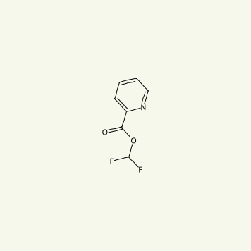 O=C(OC(F)F)c1ccccn1